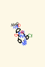 COC(=O)N[C@H]1CC[C@@H](NC(=O)[C@H](Cc2ccccc2)NC(=O)/C=C/c2cc(Cl)ccc2-n2cnnn2)CC1